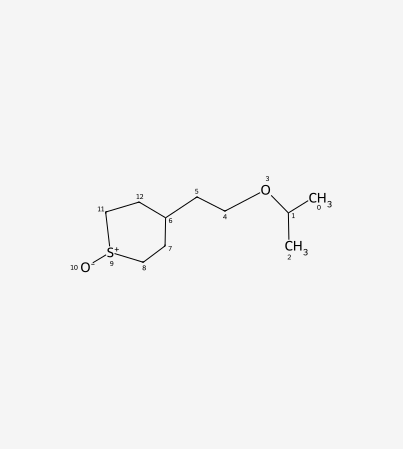 CC(C)OCCC1CC[S+]([O-])CC1